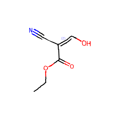 CCOC(=O)/C(C#N)=C\O